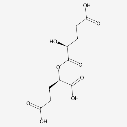 O=C(O)CC[C@H](O)C(=O)O[C@H](CCC(=O)O)C(=O)O